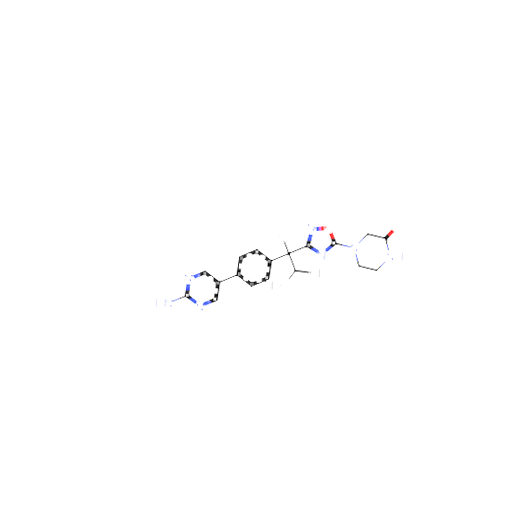 CC(C)C(C)(c1ccc(-c2cnc(N)nc2)cc1)c1noc(N2CCNC(=O)C2)n1